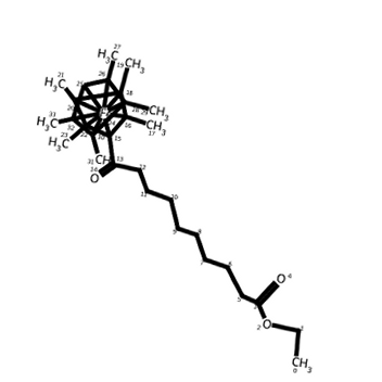 CCOC(=O)CCCCCCCCC(=O)[C]12[C]3(C)[C]4(C)[C]5(C)[C]1(C)[Fe]45321678[CH]2[C]1(C)[C]6(C)[C]7(C)[C]28C